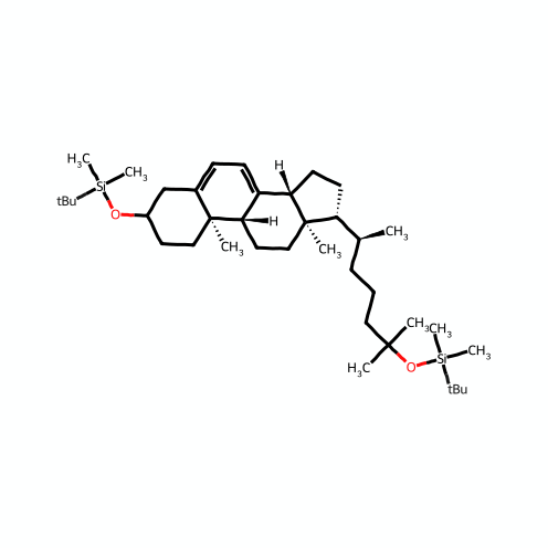 C[C@@H](CCCC(C)(C)O[Si](C)(C)C(C)(C)C)[C@H]1CC[C@H]2C3=CC=C4CC(O[Si](C)(C)C(C)(C)C)CC[C@]4(C)[C@H]3CC[C@]12C